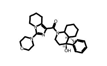 O=C(c1nc(N2CCOCC2)n2c1CCCC2)N1CC[C@@](O)(c2ccccc2)[C@@H]2CCCCC21